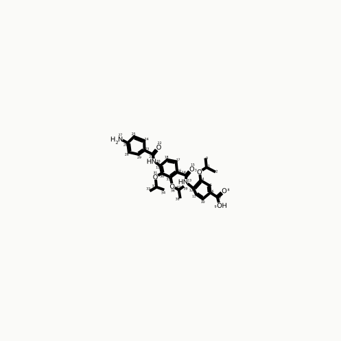 CC(C)Oc1cc(C(=O)O)ccc1NC(=O)c1ccc(NC(=O)c2ccc(N)cc2)c(OC(C)C)c1OC(C)C